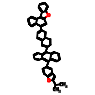 CC(C)c1cc2cc(-c3c4ccccc4c(-c4ccc5cc(-c6cc7oc8ccccc8c7c7ccccc67)ccc5c4)c4ccccc34)ccc2o1